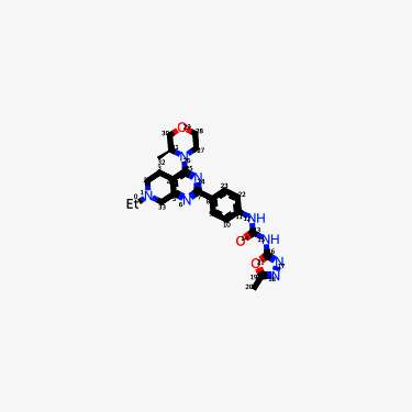 CCN1CCc2c(nc(-c3ccc(NC(=O)Nc4nnc(C)o4)cc3)nc2N2CCOC[C@@H]2C)C1